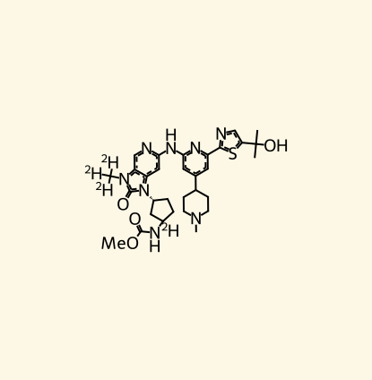 [2H]C([2H])([2H])n1c(=O)n([C@@H]2CC[C@@]([2H])(NC(=O)OC)C2)c2cc(Nc3cc(C4CCN(C)CC4)cc(-c4ncc(C(C)(C)O)s4)n3)ncc21